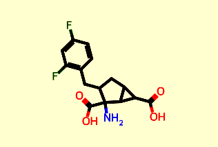 NC1(C(=O)O)C(Cc2ccc(F)cc2F)CC2C(C(=O)O)C21